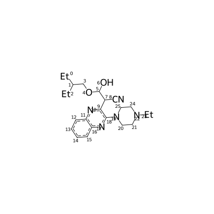 CCC(CC)COC(O)C(C#N)c1nc2ccccc2nc1N1CCN(CC)CC1